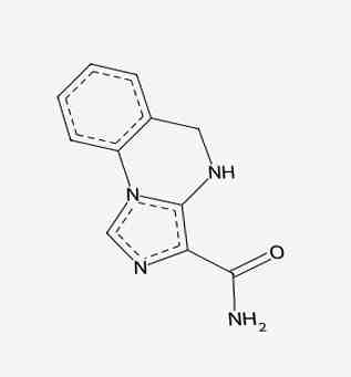 NC(=O)c1ncn2c1NCc1ccccc1-2